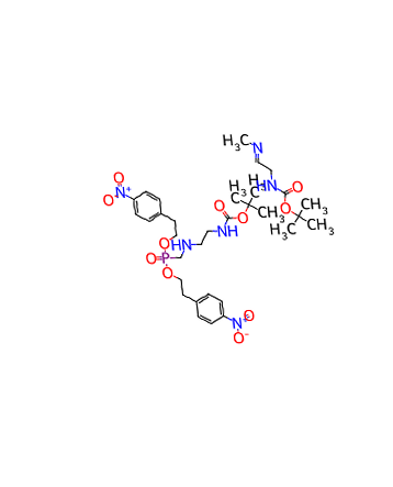 CC(C)(C)OC(=O)NCCNCP(=O)(OCCc1ccc([N+](=O)[O-])cc1)OCCc1ccc([N+](=O)[O-])cc1.CN=CCNC(=O)OC(C)(C)C